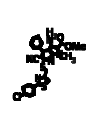 COC(=O)c1c(N)c2c(-c3ccccc3)c(C#N)c(SCc3csc(-c4ccc(Cl)cc4)n3)nc2n1C